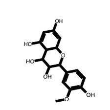 COc1cc(C2OC3C=C(O)C=C(O)C3C(O)C2O)ccc1O